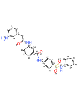 Nc1cccc(CC(=O)Nc2cccc(C(=O)Nc3ccc(S(=O)(=O)Nc4ccccc4)cc3)c2)c1